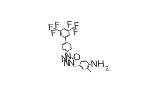 Cc1cc(Cn2nnn(-c3ccc(-c4cc(C(F)(F)F)cc(C(F)(F)F)c4)cc3)c2=O)ccc1N